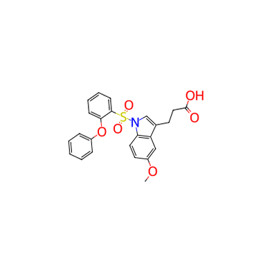 COc1ccc2c(c1)c(CCC(=O)O)cn2S(=O)(=O)c1ccccc1Oc1ccccc1